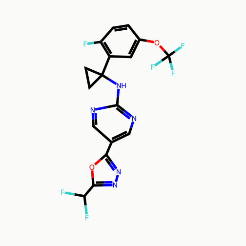 Fc1ccc(OC(F)(F)F)cc1C1(Nc2ncc(-c3nnc(C(F)F)o3)cn2)CC1